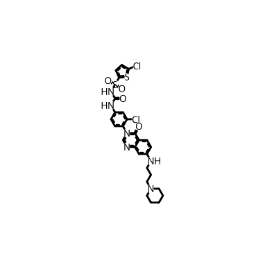 O=C(Nc1ccc(-n2cnc3cc(NCCCN4CCCCC4)ccc3c2=O)c(Cl)c1)NS(=O)(=O)c1ccc(Cl)s1